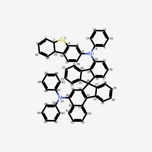 C1=CC2Sc3cc(N(c4ccccc4)c4cccc5c4-c4ccccc4C54c5ccccc5-c5c4cc(N(c4ccccc4)c4ccccc4)c4ccccc54)ccc3C2C=C1